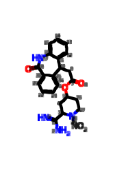 N=C(N)C1CC(OC(=O)CC2c3ccccc3NC(=O)c3ccccc32)CCN1[N+](=O)[O-]